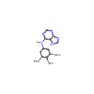 COc1cc(N(C)c2ncnc3nc[nH]c23)cc(OC)c1OC